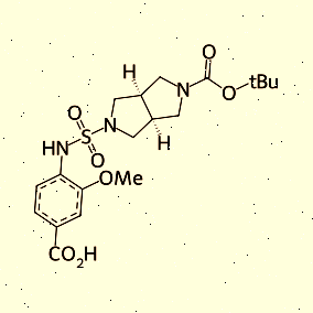 COc1cc(C(=O)O)ccc1NS(=O)(=O)N1C[C@H]2CN(C(=O)OC(C)(C)C)C[C@H]2C1